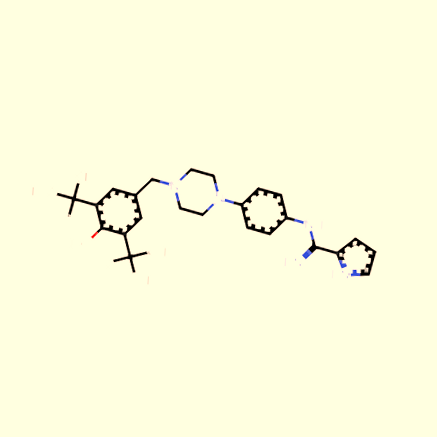 CC(C)(C)c1cc(CN2CCN(c3ccc(NC(=N)c4ccc[nH]4)cc3)CC2)cc(C(C)(C)C)c1O